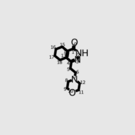 O=c1[nH]nc(CCN2CCOCC2)c2c1CCCC2